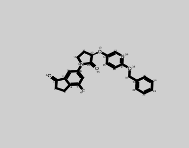 O=C1CCc2c(F)cc(N3CC[C@@H](Oc4ccc(OCc5ccccc5)nc4)C3=O)cc21